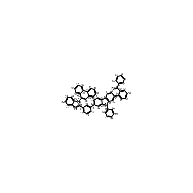 c1ccc(-c2nc3cc4c5ccc(-c6cccc(-c7nc8ccccc8n7-c7cc8ccccc8c8ccccc78)c6)cc5n(-c5ccccc5)c4cc3c3ccccc23)cc1